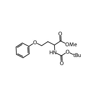 COC(=O)C(CCOc1ccccc1)NC(=O)OC(C)(C)C